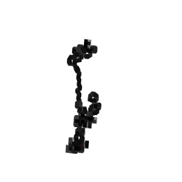 CC(C)(C)[C@H](NC(=O)c1cc2cc(C(F)(F)P(=O)(O)O)ccc2s1)C(=O)N1C[C@@H](OCCCCCCCCCC#Cc2cccc3c2CN(C2CCC(=O)NC2=O)C3=O)C[C@H]1C(=O)N1CCOC(c2ccccc2)C1